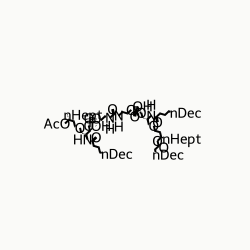 CCCCCCCCCCCCCC(=O)N[C@H](COCC[C@@H](CCCCCCC)OC(C)=O)COP(=O)(O)OCCNC(=O)NCCOP(=O)(O)OC[C@@H](COCC[C@@H](CCCCCCC)OC(=O)CCCCCCCCCCC)NC(=O)CCCCCCCCCCCCC